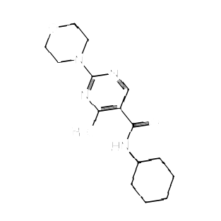 Cc1nc(N2CCOCC2)ncc1C(=O)NC1CCCCC1